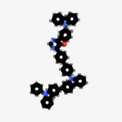 c1ccc(-n2c3ccccc3c3cc(-c4ccc5c6ccccc6n(-c6ccc(-c7ccc(-c8ncnc9c8oc8ccc(-n%10c%11ccccc%11c%11ccccc%11%10)cc89)cc7)cc6)c5c4)ccc32)cc1